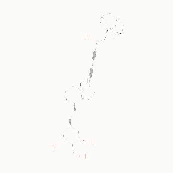 C[C@]12CCC/C(=C\C=C3C[C@@H](O)C(CO)[C@H](O)C3)C1CC[C@@H]2C#CC#CC(O)CC12CC3CC(CC(C3)C1)C2